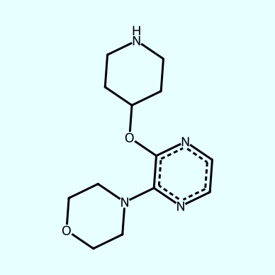 c1cnc(N2CCOCC2)c(OC2CCNCC2)n1